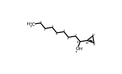 CCCCCCCCC(O)C1=CC1